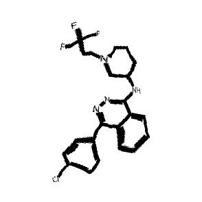 FC(F)(F)CN1CCCC(Nc2nnc(-c3ccc(Cl)cc3)c3ccccc23)C1